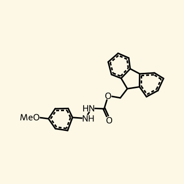 COc1ccc(NNC(=O)OCC2c3ccccc3-c3ccccc32)cc1